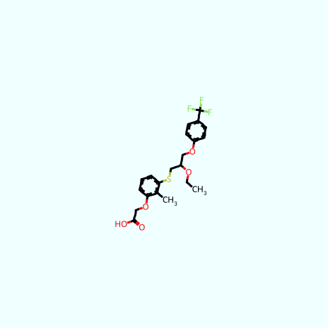 CCOC(COc1ccc(C(F)(F)F)cc1)CSc1cccc(OCC(=O)O)c1C